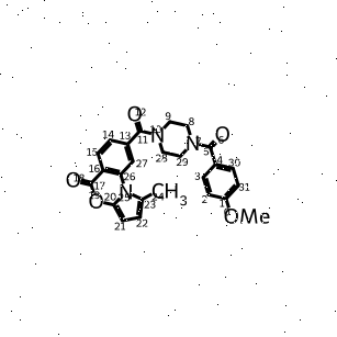 COc1ccc(C(=O)N2CCN(C(=O)c3ccc4c(=O)oc5ccc(C)n5c4c3)CC2)cc1